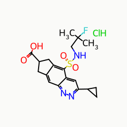 CC(C)(F)CNS(=O)(=O)c1c2c(cc3nnc(C4CC4)cc13)CC(C(=O)O)C2.Cl